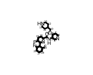 O=C(Nc1cnccc1OCC1CCNCC1)c1ccc(F)c(-c2c(F)cccc2F)n1